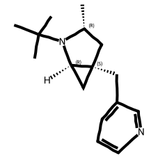 C[C@@H]1C[C@@]2(Cc3cccnc3)C[C@H]2N1C(C)(C)C